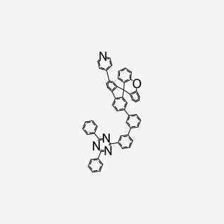 c1ccc(-c2nc(-c3ccccc3)nc(-c3cccc(-c4cccc(-c5ccc6c(c5)C5(c7ccccc7Oc7ccccc75)c5cc(-c7ccncc7)ccc5-6)c4)c3)n2)cc1